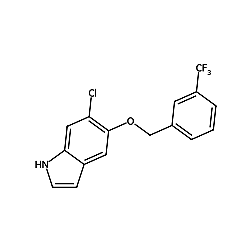 FC(F)(F)c1cccc(COc2cc3cc[nH]c3cc2Cl)c1